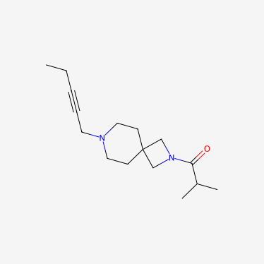 CCC#CCN1CCC2(CC1)CN(C(=O)C(C)C)C2